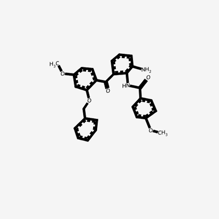 COc1ccc(C(=O)Nc2c(N)cccc2C(=O)c2ccc(OC)cc2OCc2ccccc2)cc1